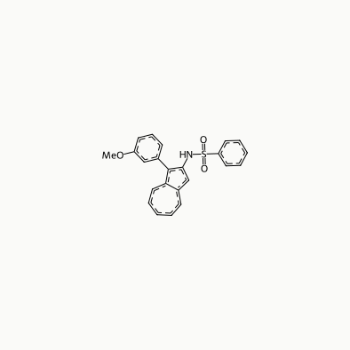 COc1cccc(-c2c(NS(=O)(=O)c3ccccc3)cc3cccccc2-3)c1